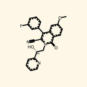 COc1ccc2c(=O)n(C[C@@H](O)c3ccccn3)c(C#N)c(-c3cccc(F)c3)c2c1